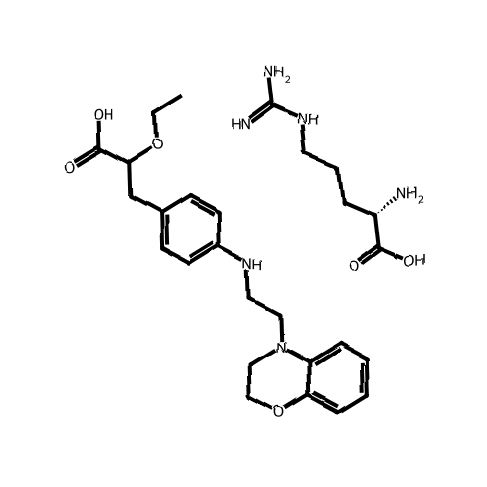 CCOC(Cc1ccc(NCCN2CCOc3ccccc32)cc1)C(=O)O.N=C(N)NCCC[C@H](N)C(=O)O